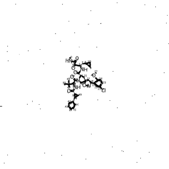 CNC(=O)C(=O)[C@H](CC1CC1)NC(=O)[C@@H]1C[C@]2(CC(c3cc(Cl)ccc3OC)=NO2)CN1C(=O)[C@@H](NC(=O)[C@@H]1C[C@H]1c1ccccc1)C(C)(C)C